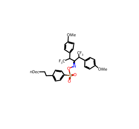 CCCCCCCCCCCCc1ccc(S(=O)(=O)ON=C(C(c2ccc(OC)cc2)C(F)(F)F)C(c2ccc(OC)cc2)C(F)(F)F)cc1